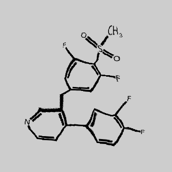 CS(=O)(=O)c1c(F)cc(-c2cnccc2-c2ccc(F)c(F)c2)cc1F